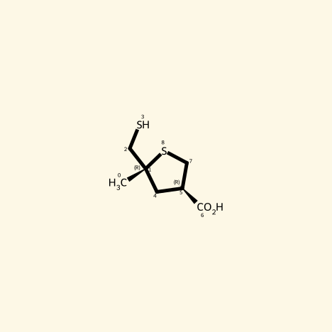 C[C@]1(CS)C[C@H](C(=O)O)CS1